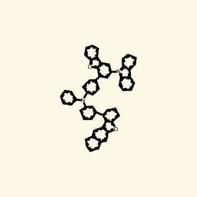 c1ccc(N(c2ccc(-c3cc(-n4c5ccccc5c5ccccc54)cc4c3oc3ccccc34)cc2)c2cccc(-c3cccc4oc5cc6ccccc6cc5c34)c2)cc1